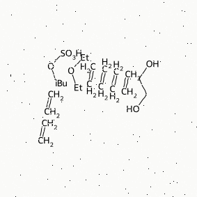 C=C.C=C.C=C.C=C.C=C.C=C.CCC(C)OS(=O)(=O)O.CCOCC.OCCO